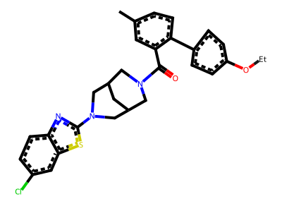 CCOc1ccc(-c2ccc(C)cc2C(=O)N2CC3CC(C2)CN(c2nc4ccc(Cl)cc4s2)C3)cc1